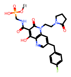 CCOP(=O)(O)CNC(=O)c1c(O)c2ncc(Cc3ccc(F)cc3)cc2n(CCN2CCCC2=O)c1=O